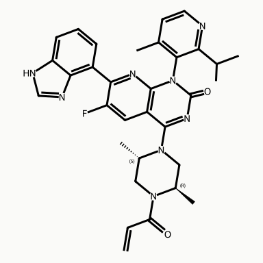 C=CC(=O)N1C[C@H](C)N(c2nc(=O)n(-c3c(C)ccnc3C(C)C)c3nc(-c4cccc5[nH]cnc45)c(F)cc23)C[C@H]1C